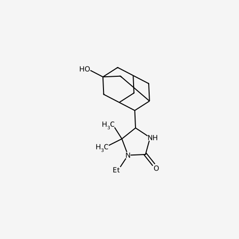 CCN1C(=O)NC(C2C3CC4CC2CC(O)(C4)C3)C1(C)C